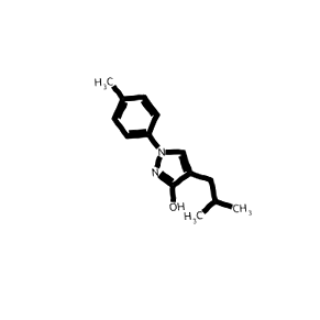 Cc1ccc(-n2cc(CC(C)C)c(O)n2)cc1